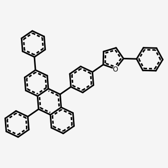 c1ccc(-c2ccc3c(-c4ccccc4)c4ccccc4c(-c4ccc(-c5ccc(-c6ccccc6)o5)cc4)c3c2)cc1